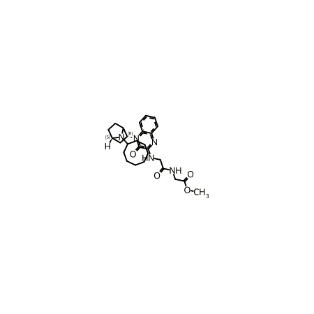 COC(=O)CNC(=O)CNc1nc2ccccc2n([C@@H]2C[C@@H]3CCC2N3C2CCCCCCC2)c1=O